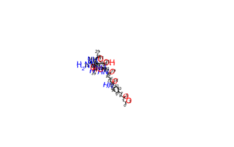 CC(=O)CC(=O)CCc1ccc(NC(=O)CCCC(=O)NC[C@@H](O)C(O)C2OC(C)=C[C@H](NC(=N)N)[C@H]2NC(C)=O)cc1